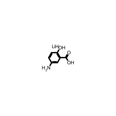 Nc1ccc(O)c(C(=O)O)c1.[LiH]